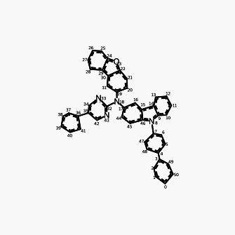 c1ccc(-c2ccc(-n3c4ccccc4c4cc(N(c5ccc6oc7ccccc7c6c5)c5ncc(-c6ccccc6)cn5)ccc43)cc2)cc1